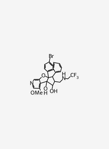 COc1cncc2c1C1(O)C(O)C(CNCC(F)(F)F)C(c3ccccc3)C1(c1ccc(Br)cc1)O2